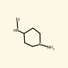 CCNC1CCN(N)CC1